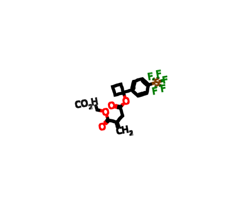 C=C(CC(=O)OC1(c2ccc(S(F)(F)(F)(F)F)cc2)CCC1)C(=O)OCC(=O)O